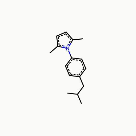 Cc1ccc(C)n1-c1ccc(CC(C)C)cc1